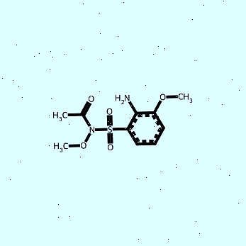 COc1cccc(S(=O)(=O)N(OC)C(C)=O)c1N